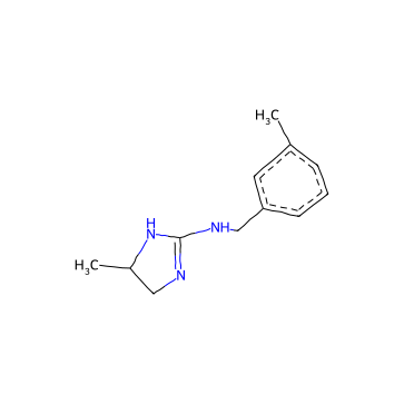 Cc1cccc(CNC2=NCC(C)N2)c1